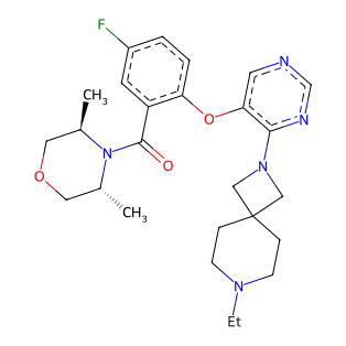 CCN1CCC2(CC1)CN(c1ncncc1Oc1ccc(F)cc1C(=O)N1[C@H](C)COC[C@H]1C)C2